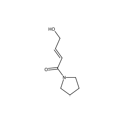 O=C(C=CCO)N1C[CH]CC1